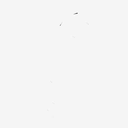 N#C[C@]1(c2ccc(-c3ccc(N4CC(n5ccnn5)OC4=O)cc3F)cn2)[C@@H]2CS(=O)(=O)C[C@@H]21